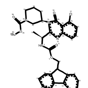 C[C@H](NC(=O)OCC1c2ccccc2-c2ccccc21)c1nc2cccc(Cl)c2c(=O)n1[C@@H]1CCCN(C(=O)OC(C)(C)C)C1